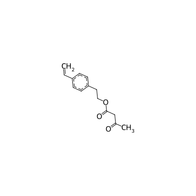 C=Cc1ccc(CCOC(=O)CC(C)=O)cc1